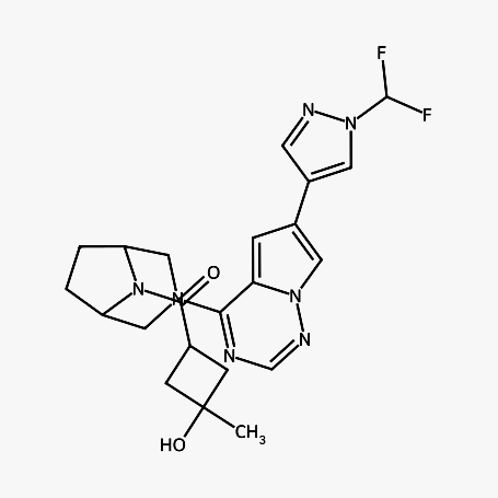 CC1(O)CC(C(=O)N2C3CCC2CN(c2ncnn4cc(-c5cnn(C(F)F)c5)cc24)C3)C1